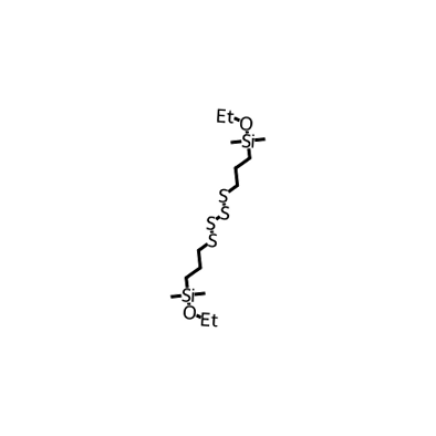 CCO[Si](C)(C)CCCSSSSCCC[Si](C)(C)OCC